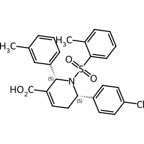 Cc1cccc([C@H]2C(C(=O)O)=CC[C@@H](c3ccc(Cl)cc3)N2S(=O)(=O)c2ccccc2C)c1